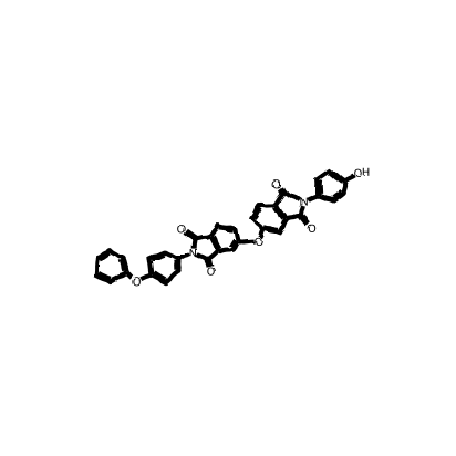 O=C1c2ccc(Oc3ccc4c(c3)C(=O)N(c3ccc(Oc5ccccc5)cc3)C4=O)cc2C(=O)N1c1ccc(O)cc1